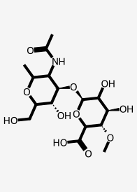 CO[C@@H]1C(C(=O)O)O[C@@H](O[C@@H]2C(NC(C)=O)C(C)OC(CO)[C@H]2O)C(O)[C@H]1O